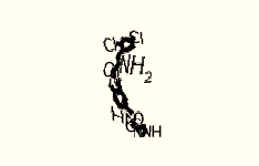 N[C@H](Cc1ccc(Cl)cc1Cl)C(=O)N1Cc2ccc(CNS(=O)(=O)c3c[nH]cn3)cc2C1